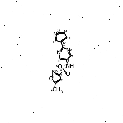 Cc1cc(S(=O)(=O)Nc2cnc(-c3cccnc3)nc2)no1